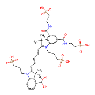 CC1(C)C(/C=C/C=C/C=C2/N(CCCS(=O)(=O)O)c3cccc(C(O)O)c3C2(C)C)=[N+](CCCS(=O)(=O)O)c2cc(C(=O)NCCS(=O)(=O)O)cc(C(=O)NCCS(=O)(=O)O)c21